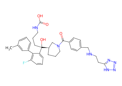 Cc1cccc(-c2c(F)cccc2C(O)(CCCNC(=O)O)[C@@H]2CCCN(C(=O)c3ccc(CNCCc4nnn[nH]4)cc3)C2)c1